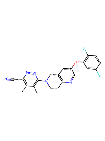 Cc1c(C#N)nnc(N2CCc3ncc(Oc4cc(F)ccc4F)cc3C2)c1C